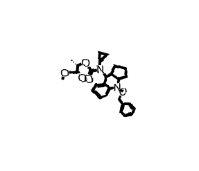 COC(=O)[C@H](C)OC(=O)N(C1CC1)C1c2ccccc2N(OCc2ccccc2)C2CCCC21